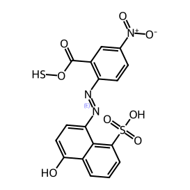 O=C(OS)c1cc([N+](=O)[O-])ccc1/N=N/c1ccc(O)c2cccc(S(=O)(=O)O)c12